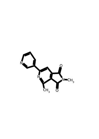 Cc1nc(-c2cccnc2)cc2c1C(=O)N(C)C2=O